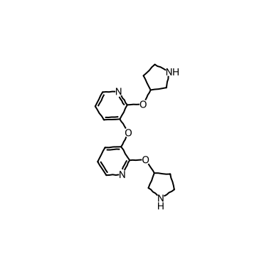 c1cnc(OC2CCNC2)c(Oc2cccnc2OC2CCNC2)c1